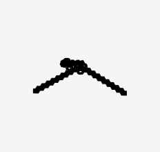 C=C(CCCC(=O)OC(C)(C)C)P(=O)(OCCCCCCCCCCCCCCCCCC)OCCCCCCCCCCCCCCCCCC